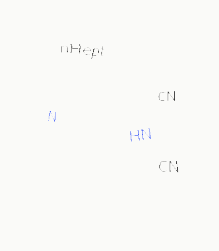 CCCCCCCC[n+]1cccc(C)c1.N#CNC#N